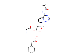 CCC(CC)C(=O)Nc1ncnn2c([C@]3(C#N)O[C@H](COC(=O)CC4CCCCC4)[C@@H](OC(=O)[C@H](N)C(C)(C)C)[C@H]3O)ccc12